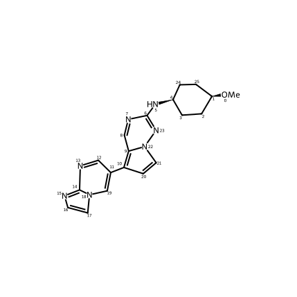 CO[C@H]1CC[C@@H](Nc2ncc3c(-c4cnc5nccn5c4)ccn3n2)CC1